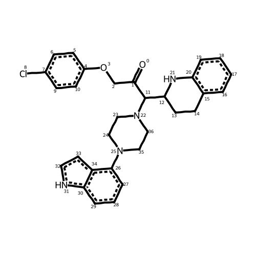 O=C(COc1ccc(Cl)cc1)C(C1CCc2ccccc2N1)N1CCN(c2cccc3[nH]ccc23)CC1